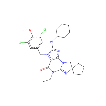 CCN1C(=O)c2c(nc(NC3CCCCC3)n2Cc2cc(Cl)c(OC)c(Cl)c2)N2CC3(CCCC3)N=C12